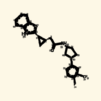 O=C(C[C@@H]1C[C@@H]1c1nc2ccccc2[nH]1)N[C@@H]1CCN(c2ccc(F)c(C(F)(F)F)c2)C1